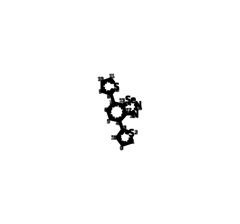 c1csc(-c2ccc(-c3cccs3)c3[se]nnc23)c1